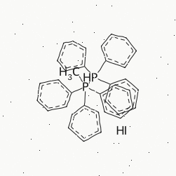 CP(c1ccccc1)(c1ccccc1)(c1ccccc1)[PH](c1ccccc1)(c1ccccc1)c1ccccc1.I